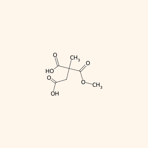 COC(=O)C(C)(CC(=O)O)C(=O)O